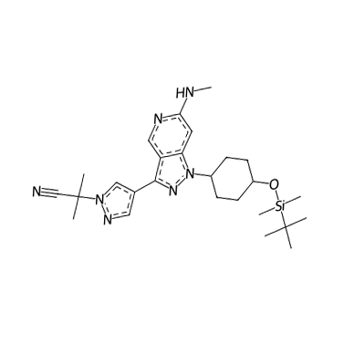 CNc1cc2c(cn1)c(-c1cnn(C(C)(C)C#N)c1)nn2C1CCC(O[Si](C)(C)C(C)(C)C)CC1